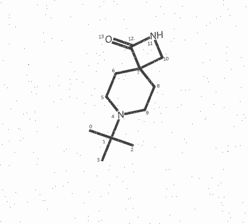 CC(C)(C)N1CCC2(CC1)CNC2=O